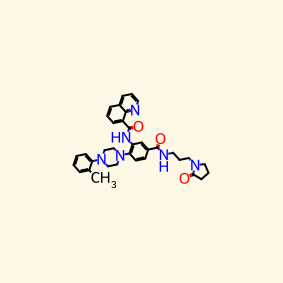 Cc1ccccc1N1CCN(c2ccc(C(=O)NCCCN3CCCC3=O)cc2NC(=O)c2cccc3cccnc23)CC1